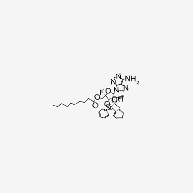 C#C[C@]1(O)[C@H](n2cnc3c(N)ncnc32)O[C@](F)(COC(=O)CCCCCCCCC)[C@H]1O[Si](c1ccccc1)(c1ccccc1)C(C)(C)C